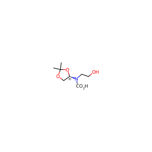 CC1(C)OC[C@H](N(CCO)C(=O)O)O1